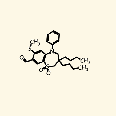 CCCCC1(CCCC)CN(c2ccccc2)c2cc(SC)c(C=O)cc2S(=O)(=O)C1